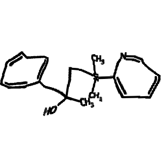 CC(O)(C[Si](C)(C)c1ccccn1)c1ccccc1